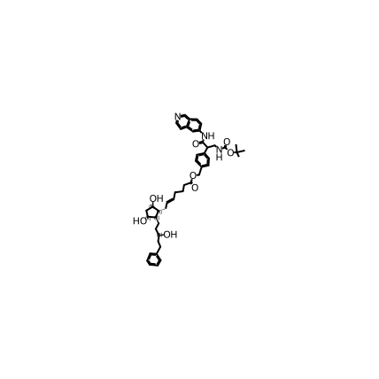 CC(C)(C)OC(=O)NCC(C(=O)Nc1ccc2cnccc2c1)c1ccc(COC(=O)CCCC=CC[C@@H]2[C@@H](CC[C@@H](O)CCc3ccccc3)[C@H](O)C[C@H]2O)cc1